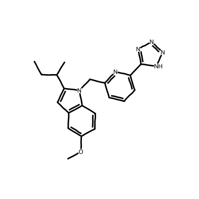 CCC(C)c1cc2cc(OC)ccc2n1Cc1cccc(-c2nnn[nH]2)n1